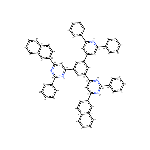 c1ccc(-c2cc(-c3cc(-c4cc(-c5ccc6ccccc6c5)nc(-c5ccccc5)n4)cc(-c4cc(-c5ccc6ccccc6c5)nc(-c5ccccc5)n4)c3)cc(-c3ccccc3)n2)cc1